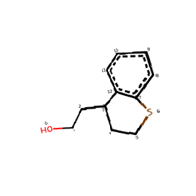 OCCC1CCSc2ccccc21